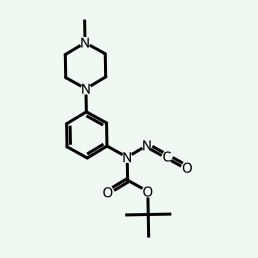 CN1CCN(c2cccc(N(N=C=O)C(=O)OC(C)(C)C)c2)CC1